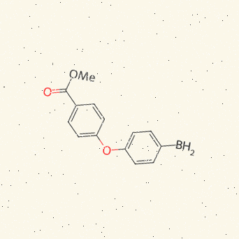 Bc1ccc(Oc2ccc(C(=O)OC)cc2)cc1